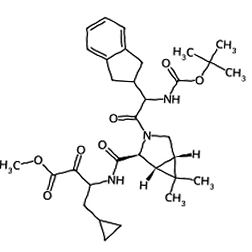 COC(=O)C(=O)C(CC1CC1)NC(=O)[C@@H]1[C@@H]2[C@H](CN1C(=O)C(NC(=O)OC(C)(C)C)C1Cc3ccccc3C1)C2(C)C